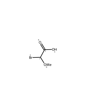 COC(Br)C(=O)O